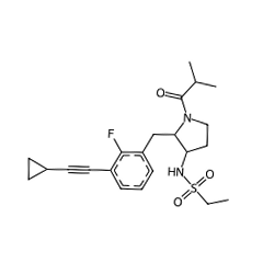 CCS(=O)(=O)NC1CCN(C(=O)C(C)C)C1Cc1cccc(C#CC2CC2)c1F